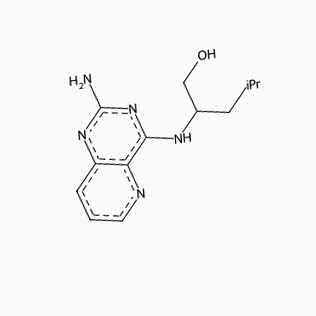 CC(C)CC(CO)Nc1nc(N)nc2cccnc12